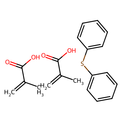 C=C(C)C(=O)O.C=C(C)C(=O)O.c1ccc(Sc2ccccc2)cc1